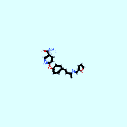 CC(CCc1ccc(Oc2ccc(C(N)=O)cn2)cc1)N=Cc1ccco1